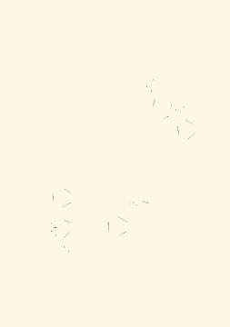 Nc1nnc(-c2ccccc2O)cc1OCCc1ccc(CNC(=O)CCCCCCOc2cccc3c2C(=O)N(C2CCC(=O)NC2=O)C3=O)cc1